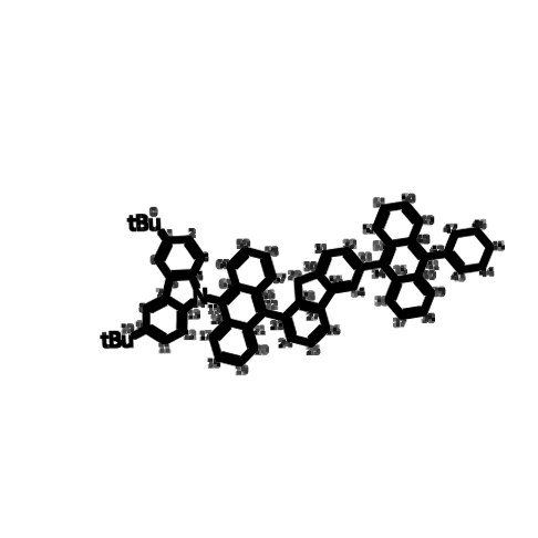 CC(C)(C)c1ccc2c(c1)c1cc(C(C)(C)C)ccc1n2-c1c2ccccc2c(-c2cccc3c2Cc2ccc(-c4c5ccccc5c(C5=CCCCC5)c5ccccc45)cc2-3)c2ccccc12